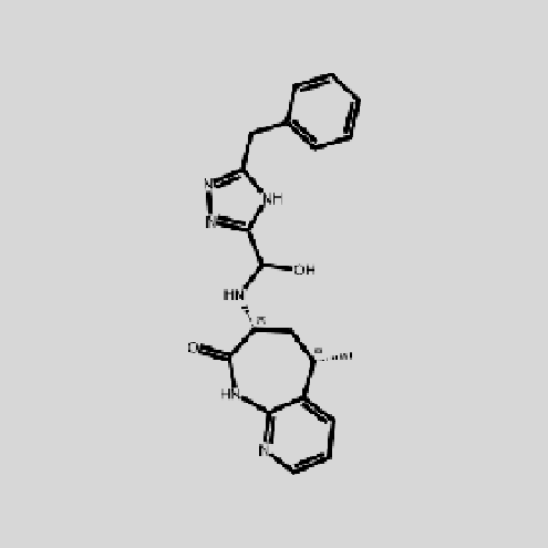 C[C@H]1C[C@@H](NC(O)c2nnc(Cc3ccccc3)[nH]2)C(=O)Nc2ncccc21